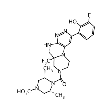 C[C@@H]1CN(C(=O)O)C[C@H](C)N1C(=O)N1CCN2c3cc(-c4cccc(F)c4O)nnc3NCC2(C(F)(F)F)C1